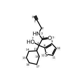 C#CCNC(=O)C(O)(c1cccs1)C1CCCCC1